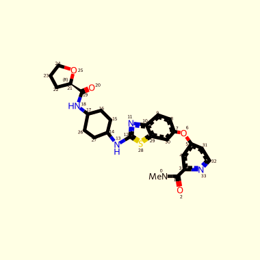 CNC(=O)c1cc(Oc2ccc3nc(NC4CCC(NC(=O)[C@H]5CCCO5)CC4)sc3c2)ccn1